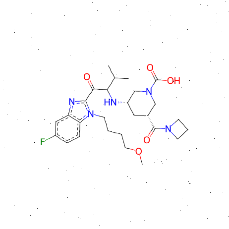 COCCCCn1c(C(=O)C(N[C@H]2C[C@@H](C(=O)N3CCC3)CN(C(=O)O)C2)C(C)C)nc2cc(F)ccc21